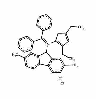 CCC1=CC(CC)=[C]([Zr+2](=[C](c2ccccc2)c2ccccc2)[CH]2c3cc(C)ccc3-c3ccc(C)cc32)C1.[Cl-].[Cl-]